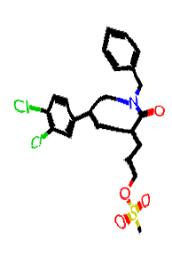 CS(=O)(=O)OCCCC1CC(c2ccc(Cl)c(Cl)c2)CN(Cc2ccccc2)C1=O